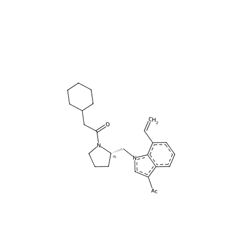 C=Cc1cccc2c(C(C)=O)cn(C[C@@H]3CCCN3C(=O)CC3CCCCC3)c12